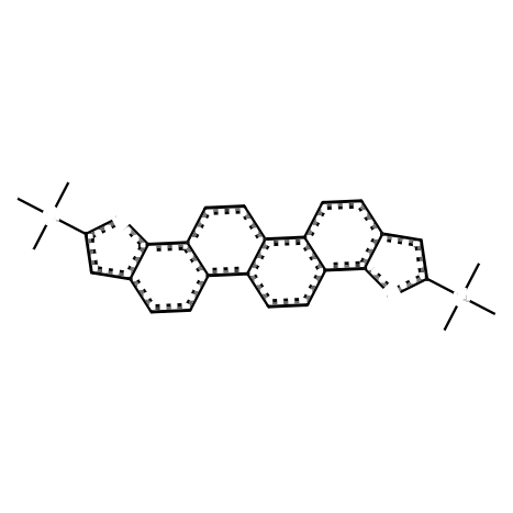 C[Si](C)(C)c1cc2ccc3c4ccc5c(ccc6cc([Si](C)(C)C)oc65)c4ccc3c2o1